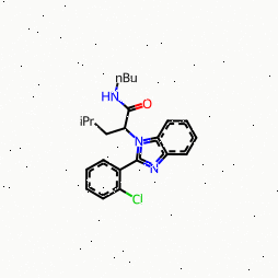 CCCCNC(=O)C(CC(C)C)n1c(-c2ccccc2Cl)nc2ccccc21